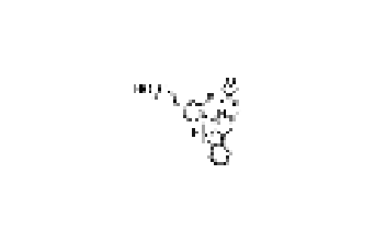 C[C@@H]1Cc2c([nH]c3ccccc23)[C@@H](c2c(F)cc(C=CC(=O)O)cc2F)N1CC1(F)COC1